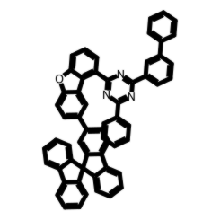 c1ccc(-c2cccc(-c3nc(-c4ccccc4)nc(-c4cccc5oc6ccc(-c7ccc8c(c7)C7(c9ccccc9-c9ccccc97)c7ccccc7-8)cc6c45)n3)c2)cc1